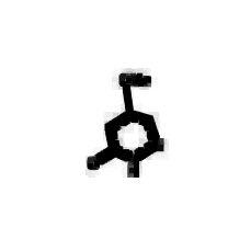 COc1cn[nH]c(=O)c1